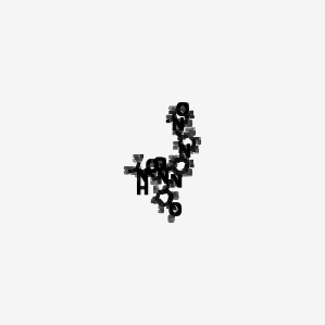 COc1cccc(-c2nc3ccc(N4CCCC(CN5CCOCC5)C4)cc3c(=O)n2CC(=O)NC(C)C)c1